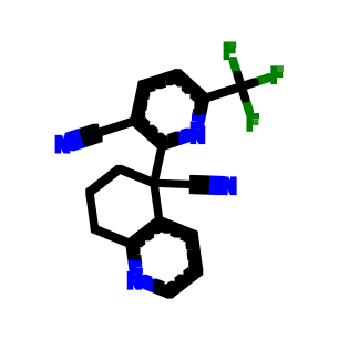 N#Cc1ccc(C(F)(F)F)nc1C1(C#N)CCCc2ncccc21